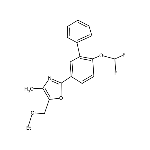 CCOCc1oc(-c2ccc(OC(F)F)c(-c3ccccc3)c2)nc1C